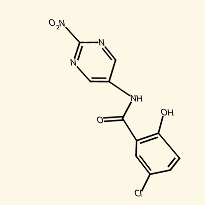 O=C(Nc1cnc([N+](=O)[O-])nc1)c1cc(Cl)ccc1O